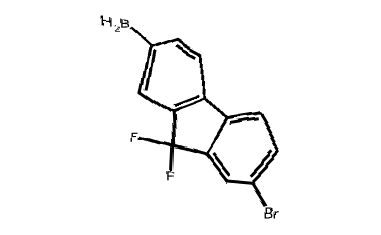 Bc1ccc2c(c1)C(F)(F)c1cc(Br)ccc1-2